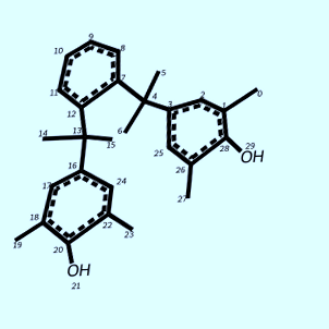 Cc1cc(C(C)(C)c2ccccc2C(C)(C)c2cc(C)c(O)c(C)c2)cc(C)c1O